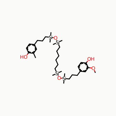 COc1cc(CCC[Si](C)(C)O[Si](C)(C)CCCCCC[Si](C)(C)O[Si](C)(C)CCCc2ccc(O)c(C)c2)ccc1O